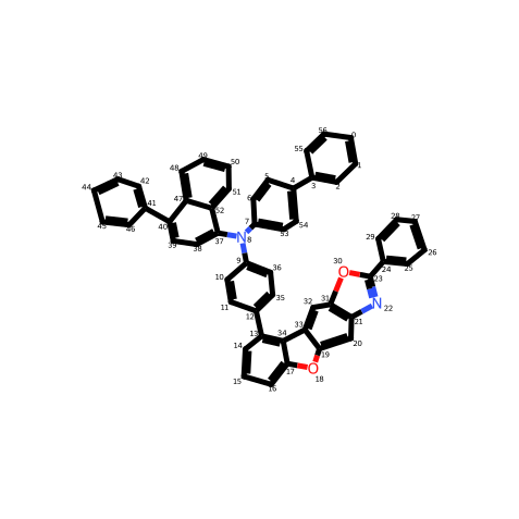 c1ccc(-c2ccc(N(c3ccc(-c4cccc5oc6cc7nc(-c8ccccc8)oc7cc6c45)cc3)c3ccc(-c4ccccc4)c4ccccc34)cc2)cc1